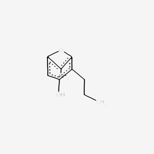 CCCc1c(O)cc2c(N)c1O2